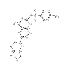 Cc1ccc(S(=O)(=O)Oc2cc(Cl)c3cc(N4CCN5CCCC5C4)cnc3n2)cc1